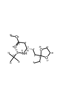 CCC1(CC[C@@H](CC(=O)OC)NSC(C)(C)C)OCCO1